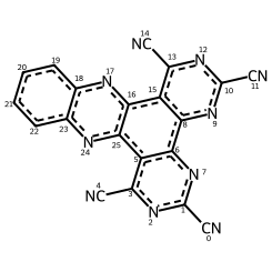 N#Cc1nc(C#N)c2c(n1)c1nc(C#N)nc(C#N)c1c1nc3ccccc3nc12